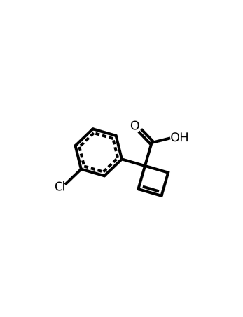 O=C(O)C1(c2cccc(Cl)c2)C=CC1